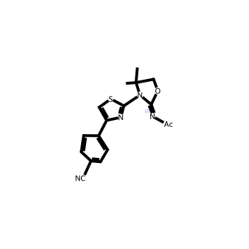 CC(=O)/N=C1\OCC(C)(C)N1c1nc(-c2ccc(C#N)cc2)cs1